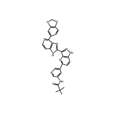 CC(C)(C)C(=O)Nc1cncc(-c2ccc3[nH]nc(-c4nc5c(-c6ccc7c(c6)OCO7)nccc5[nH]4)c3n2)c1